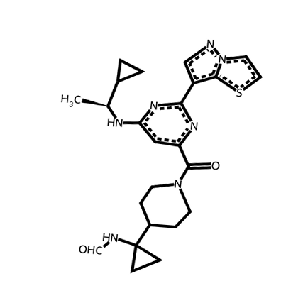 C[C@H](Nc1cc(C(=O)N2CCC(C3(NC=O)CC3)CC2)nc(-c2cnn3ccsc23)n1)C1CC1